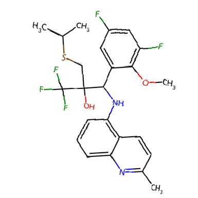 COc1c(F)cc(F)cc1C(Nc1cccc2nc(C)ccc12)C(O)(CSC(C)C)C(F)(F)F